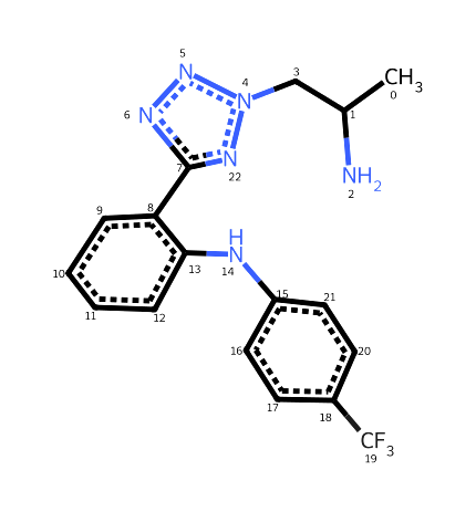 CC(N)Cn1nnc(-c2ccccc2Nc2ccc(C(F)(F)F)cc2)n1